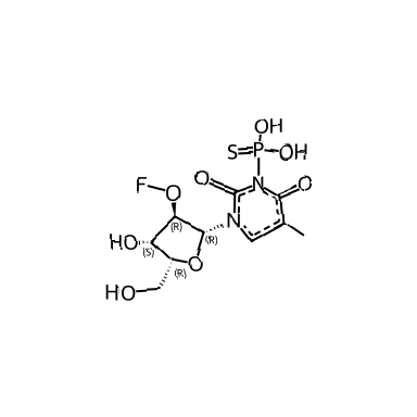 Cc1cn([C@@H]2O[C@H](CO)[C@H](O)[C@H]2OF)c(=O)n(P(O)(O)=S)c1=O